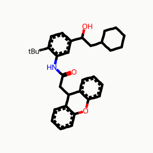 CC(C)(C)c1ccc(C(O)CC2CCCCC2)cc1NC(=O)CC1c2ccccc2Oc2ccccc21